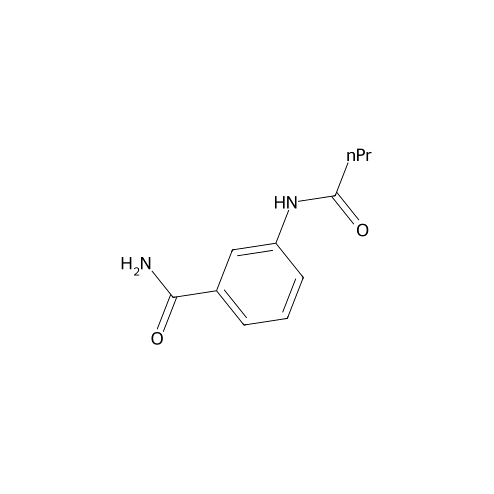 CCCC(=O)Nc1cccc(C(N)=O)c1